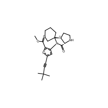 COC(=O)c1sc(C#CC(C)(C)C)cc1N(C(C)=O)C1([C@H]2CCNC2)CCCCC1